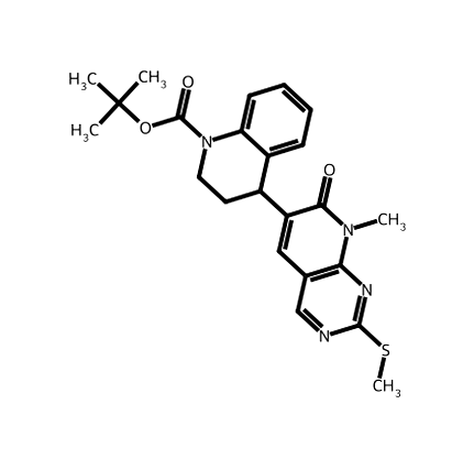 CSc1ncc2cc(C3CCN(C(=O)OC(C)(C)C)c4ccccc43)c(=O)n(C)c2n1